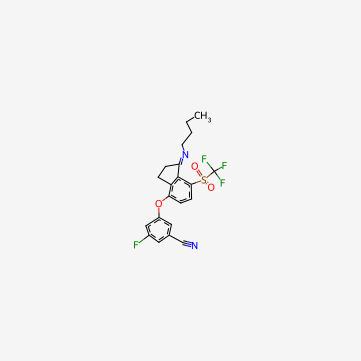 CCCCN=C1CCc2c(Oc3cc(F)cc(C#N)c3)ccc(S(=O)(=O)C(F)(F)F)c21